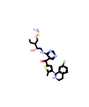 CCC(COSN)[C@@H](O)CNc1ncncc1C(=O)c1cc([C@@H]2NCCc3ccc(Cl)cc32)c(C)s1